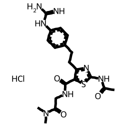 CC(=O)Nc1nc(CCc2ccc(NC(=N)N)cc2)c(C(=O)NCC(=O)N(C)C)s1.Cl